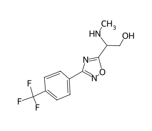 CNC(CO)c1nc(-c2ccc(C(F)(F)F)cc2)no1